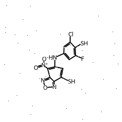 O=[N+]([O-])c1c(Nc2cc(F)c(S)c(Cl)c2)cc(S)c2nonc12